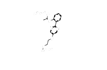 CCCCCOCCOc1cnc(-c2ccccc2OC(C)OCCCCC)nc1